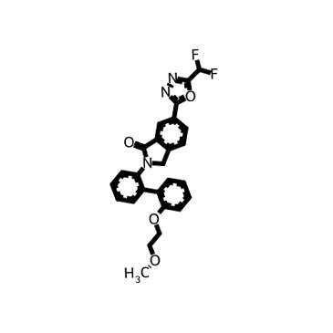 COCCOc1ccccc1-c1ccccc1N1Cc2ccc(-c3nnc(C(F)F)o3)cc2C1=O